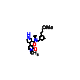 COCCCc1c[c]cc(CN(C(=O)C2CNCCC2c2ccn(C)c(=O)c2)C2CC2)c1